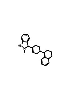 CN1Nc2ccccc2C1C1=CCC(C2=C3C=CC=CC3CCC2)CC1